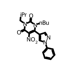 CCCCn1c(-c2cnn(-c3ccccc3)c2)c([N+](=O)[O-])c(=O)n(CC(C)C)c1=O